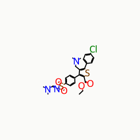 CCOC(=O)c1sc(-c2ccc(Cl)cc2)c(CN(C)C)c1-c1ccc(S(=O)(=O)N=CN(C)C)cc1